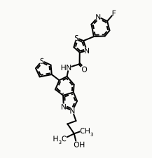 CC(C)(O)CCn1cc2cc(NC(=O)c3csc(-c4ccc(F)nc4)n3)c(-c3ccsc3)cc2n1